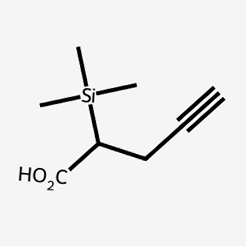 C#CCC(C(=O)O)[Si](C)(C)C